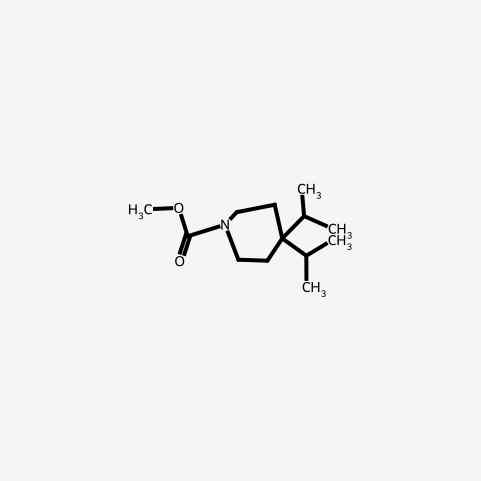 COC(=O)N1CCC(C(C)C)(C(C)C)CC1